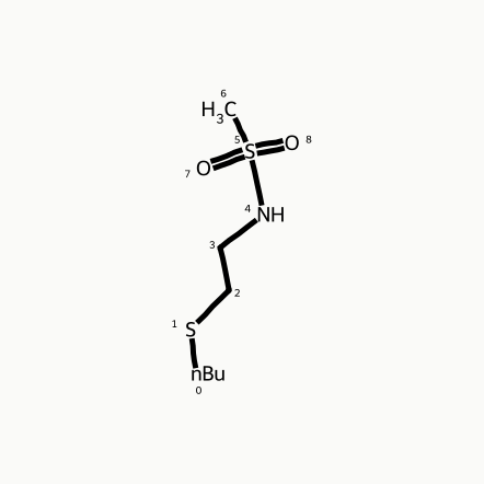 CCCCSCCNS(C)(=O)=O